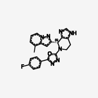 Cc1cccn2nc([C@@H]3c4nc[nH]c4CCN3c3nnc(-c4ccc(F)cc4)o3)cc12